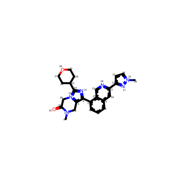 CN1Cc2c(-c3cccc4cc(-c5ccn(C)n5)ncc34)nc(C3CCOCC3)n2CC1=O